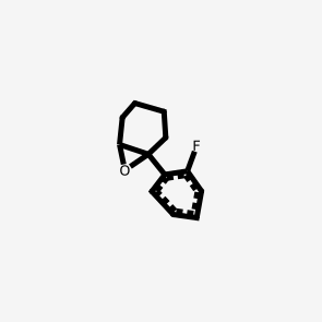 Fc1ccccc1C12CCCCC1O2